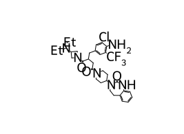 CCN(CC)C1CN(C(=O)C(CC(=O)N2CCC(N3CCc4ccccc4NC3=O)CC2)Cc2cc(Cl)c(N)c(C(F)(F)F)c2)C1